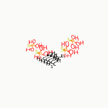 CC.CC.CCC.CCC.CCC.CCC.OP(O)(O)=S.OP(O)(O)=S.OP(O)(O)=S.OP(O)(O)=S